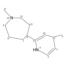 CC1C=CNC(C2CCCN(C)CC2)=C1